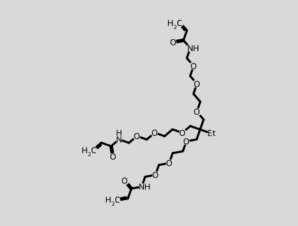 C=CC(=O)NCOCOCCOCC(CC)(COCCOCOCNC(=O)C=C)COCCOCOCNC(=O)C=C